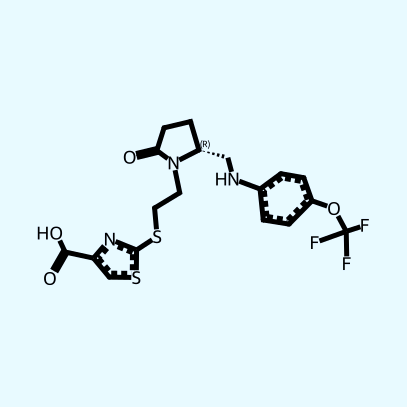 O=C(O)c1csc(SCCN2C(=O)CC[C@@H]2CNc2ccc(OC(F)(F)F)cc2)n1